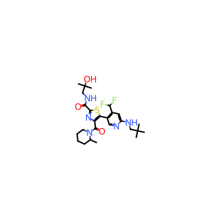 CC1CCCCN1C(=O)c1nc(C(=O)NCC(C)(C)O)sc1-c1cnc(NCC(C)(C)C)cc1C(F)F